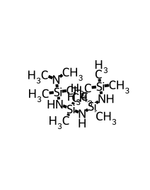 CN(C)[Si](C)(C)N[Si](C)(C)N[Si](C)(C)N[Si](C)(C)C